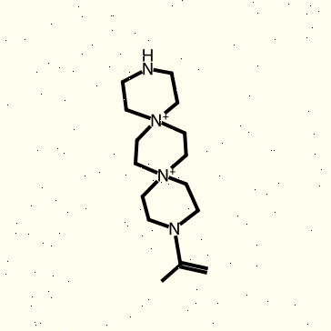 C=C(C)N1CC[N+]2(CC1)CC[N+]1(CCNCC1)CC2